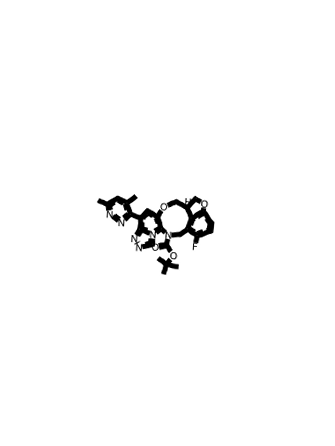 Cc1cc(C)c(-c2cc3c(n4cnnc24)N(C(=O)OC(C)(C)C)Cc2c(F)ccc4c2[C@H](CO4)CO3)nn1